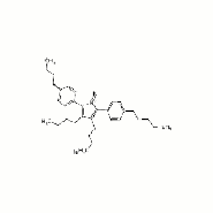 CCCCCc1ccc(C2=C(CCCC)C(CCCC)=C(c3ccc(CCCC)cc3)[N+]2=[N-])cc1.[Ni]